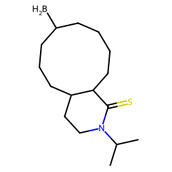 BC1CCCCC2C(=S)N(C(C)C)CCC2CCC1